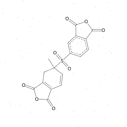 CC1(S(=O)(=O)c2ccc3c(c2)C(=O)OC3=O)C=CC2=C(C1)C(=O)OC2=O